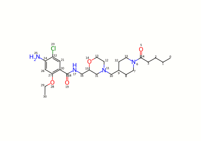 CCCCC(=O)N1CCC(CN2CCOC(CNC(=O)c3cc(Cl)c(N)cc3OCC)C2)CC1